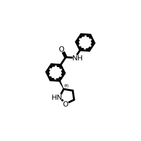 O=C(Nc1ccccc1)c1cccc([C@H]2CCON2)c1